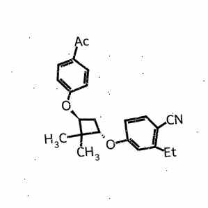 CCc1cc(O[C@H]2C[C@H](Oc3ccc(C(C)=O)cc3)C2(C)C)ccc1C#N